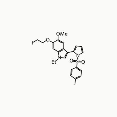 CCn1cc(-c2cccn2S(=O)(=O)c2ccc(C)cc2)c2cc(OC)c(OCCI)cc21